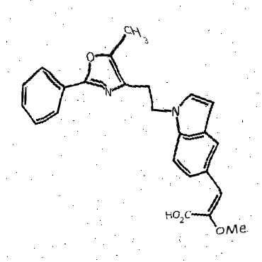 COC(=Cc1ccc2c(ccn2CCc2nc(-c3ccccc3)oc2C)c1)C(=O)O